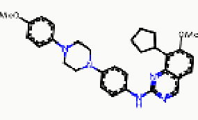 COc1ccc(N2CCN(c3ccc(Nc4ncc5ccc(OC)c(C6CCCC6)c5n4)cc3)CC2)cc1